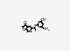 CC(Sc1nc(N)cc(C#N)n1)c1cc2c(Cl)coc2cn1